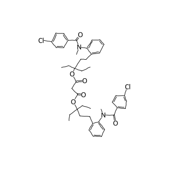 CCC(CC)(CCc1ccccc1N(C)C(=O)c1ccc(Cl)cc1)OC(=O)CC(=O)OC(CC)(CC)CCc1ccccc1N(C)C(=O)c1ccc(Cl)cc1